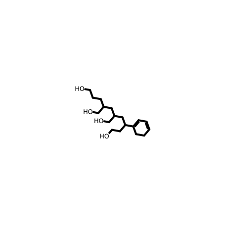 OCCCC(CO)CC(CO)CC(CCO)C1=CC=CCC1